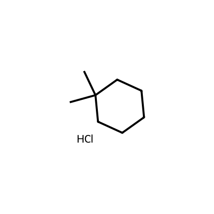 CC1(C)CCCCC1.Cl